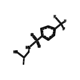 CC(S)CNS(=O)(=O)c1ccc(C(F)(F)F)cc1